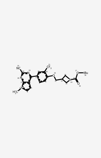 Cn1ccc2c(-c3ccc(OCC4CN(C(=O)OC(C)(C)C)C4)c(C(F)(F)F)c3)nc(C#N)nc21